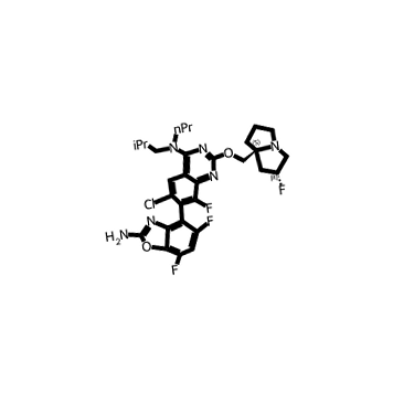 CCCN(CC(C)C)c1nc(OC[C@@]23CCCN2C[C@H](F)C3)nc2c(F)c(-c3c(F)cc(F)c4oc(N)nc34)c(Cl)cc12